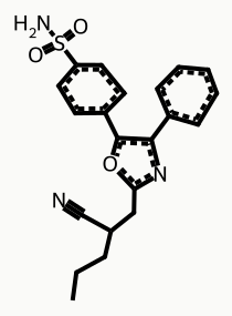 CCCC(C#N)Cc1nc(-c2ccccc2)c(-c2ccc(S(N)(=O)=O)cc2)o1